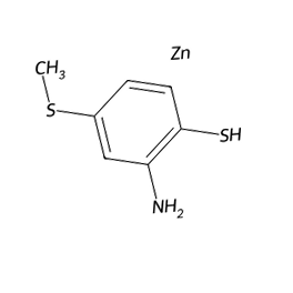 CSc1ccc(S)c(N)c1.[Zn]